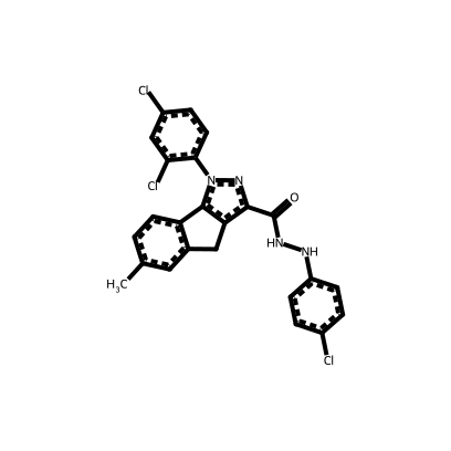 Cc1ccc2c(c1)Cc1c(C(=O)NNc3ccc(Cl)cc3)nn(-c3ccc(Cl)cc3Cl)c1-2